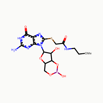 COCCNC(=O)CSc1nc2c(=O)[nH]c(N)nc2n1C1OC2COP(O)OC2C1O